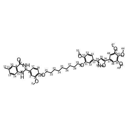 COc1cc(C2NC(=O)c3cc(C)ccc3N2)ccc1OCCCCCCCCCOc1cc(-c2cc(-c3cc(OC)c(OC)c(OC)c3)on2)ccc1OC